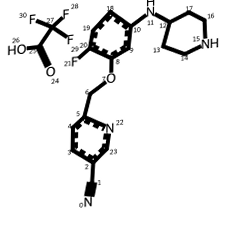 N#Cc1ccc(COc2cc(NC3CCNCC3)ccc2F)nc1.O=C(O)C(F)(F)F